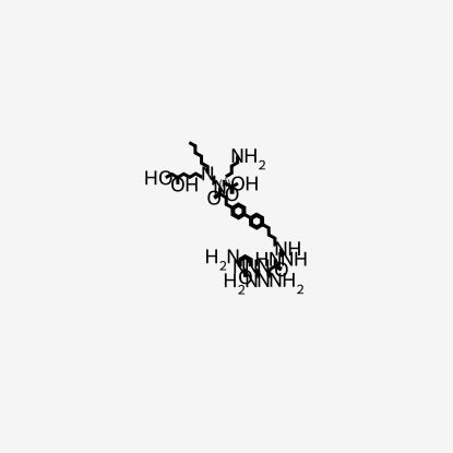 CCCCCCN(CCCCC(O)CO)CCN(C(=O)CCc1ccc(-c2ccc(CCCCNC(=N)NC(=O)c3nc(-n4ccc(N)nc4=O)c(N)nc3N)cc2)cc1)[C@H](CCCCN)C(=O)O